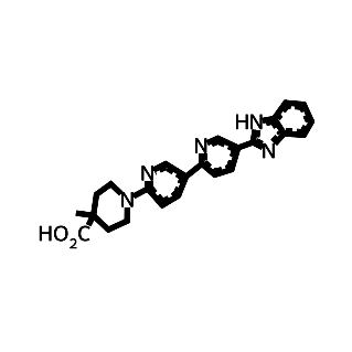 CC1(C(=O)O)CCN(c2ccc(-c3ccc(-c4nc5ccccc5[nH]4)cn3)cn2)CC1